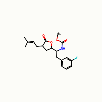 CC(C)=CCC1CC(C(Cc2cccc(F)c2)NC(=O)OC(C)(C)C)OC1=O